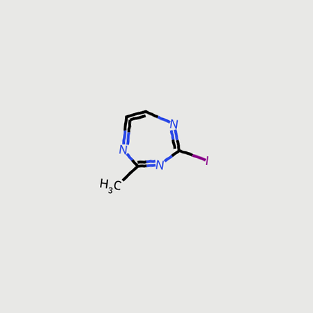 CC1=NC(I)=NC=C=N1